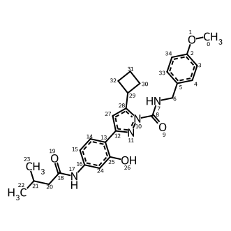 COc1ccc(CNC(=O)n2nc(-c3ccc(NC(=O)CC(C)C)cc3O)cc2C2CCC2)cc1